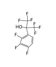 OC(c1ccc(F)c(F)c1F)(C(F)(F)F)C(F)(F)F